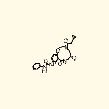 COC1CCN(C(=O)CC2CC2)CCOc2ccc(NC(=O)Nc3ccccc3)cc2C(=O)N(C)C1